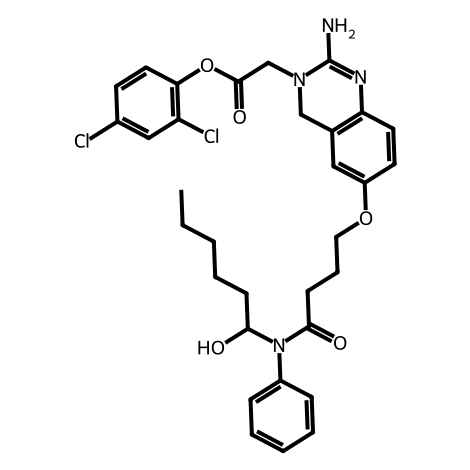 CCCCCC(O)N(C(=O)CCCOc1ccc2c(c1)CN(CC(=O)Oc1ccc(Cl)cc1Cl)C(N)=N2)c1ccccc1